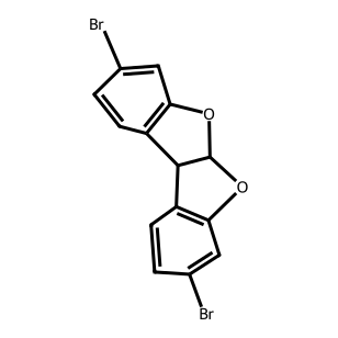 Brc1ccc2c(c1)OC1Oc3cc(Br)ccc3C21